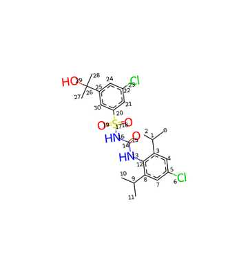 CC(C)c1cc(Cl)cc(C(C)C)c1NC(=O)NS(=O)(=O)c1cc(Cl)cc(C(C)(C)O)c1